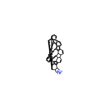 C[N+]1(C)CC2c3c4c5c6c3c3c(c7ccc8c9ccc%10c%11c%12c%13c%14c(c6c6c3c7c8c(c9c%10%13)c%146)=C3C5C(C=C4)C(C=C%11)C3%12)C2C1